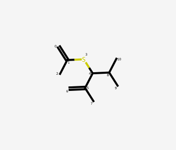 C=C(C)SC(C(=C)C)C(C)C